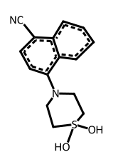 N#Cc1ccc(N2CCS(O)(O)CC2)c2ccccc12